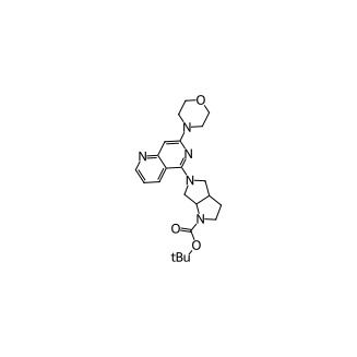 CC(C)(C)OC(=O)N1CCC2CN(c3nc(N4CCOCC4)cc4ncccc34)CC21